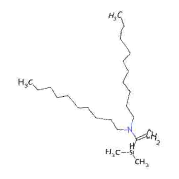 C=C(N(CCCCCCCCCC)CCCCCCCCCC)[SiH](C)C